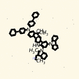 C/C=C\c1c(C)n(-c2cc(-n3c4ccccc4c4ccccc43)cc3c2[nH]c2cc4c(cc23)C(C)(C)c2cc(N(c3ccc(-c5ccccc5)cc3)c3ccc(-c5ccccc5)cc3)ccc2-4)c2ccccc12